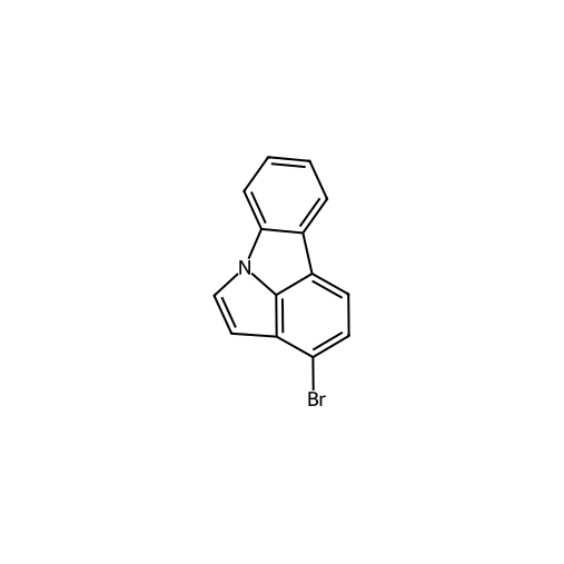 Brc1ccc2c3ccccc3n3ccc1c23